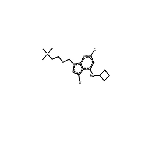 C[Si](C)(C)CCOCn1cc(Cl)c2c(NC3CCC3)cc(Cl)nc21